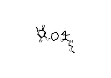 COCCNC(=O)C1(C)CC1[C@H]1CC[C@H](Oc2cc(=O)n(C)cc2Br)CC1